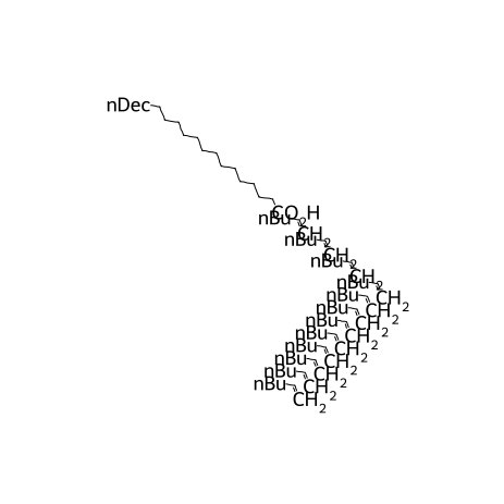 C=CCCCC.C=CCCCC.C=CCCCC.C=CCCCC.C=CCCCC.C=CCCCC.C=CCCCC.C=CCCCC.C=CCCCC.C=CCCCC.C=CCCCC.C=CCCCC.CCCCCCCCCCCCCCCCCCCCCCCC(=O)O